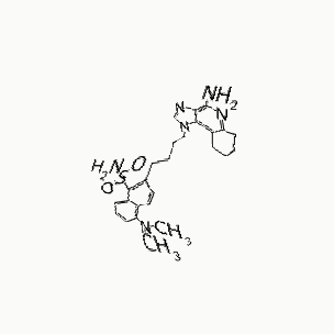 CN(C)c1cccc2c(S(N)(=O)=O)c(CCCCn3cnc4c(N)nc5c(c43)CCCC5)ccc12